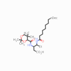 CCCCCCCCCCCCCCCCCC(=O)NC(CC)C(CC(=O)O)NC(=O)C1OC(C)(C)OCC1(C)C